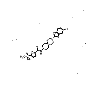 CS(=N)(=O)c1ccc(C(=O)NC2CCC3(CC2)CCN(c2nc4cc(Cl)ccc4o2)CC3)o1